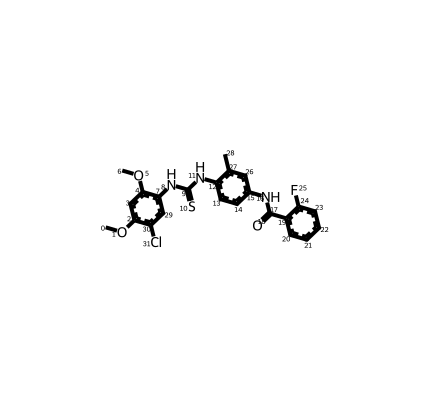 COc1cc(OC)c(NC(=S)Nc2ccc(NC(=O)c3ccccc3F)cc2C)cc1Cl